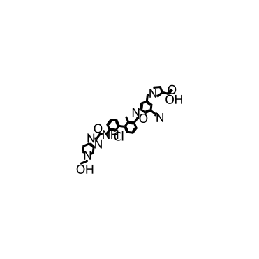 Cc1c(-c2nc3cc(CN4CCC(C(=O)O)C4)cc(C#N)c3o2)cccc1-c1cccc(NC(=O)c2nc3c(n2C)CCN(CCO)C3)c1Cl